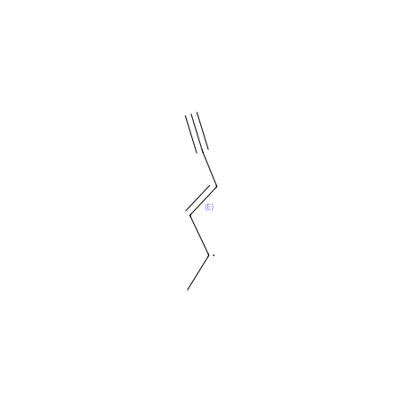 C#C/C=C/[CH]C